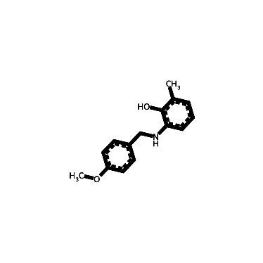 COc1ccc(CNc2cccc(C)c2O)cc1